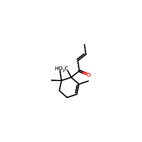 CC=CC(=O)C1(C(=O)O)C(C)=CCCC1(C)C